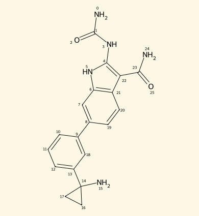 NC(=O)Nc1[nH]c2cc(-c3cccc(C4(N)CC4)c3)ccc2c1C(N)=O